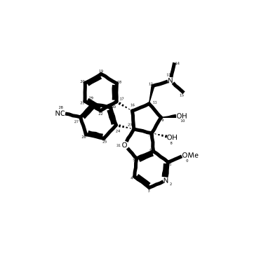 COc1nccc2c1[C@]1(O)[C@H](O)[C@H](CN(C)C)[C@@H](c3ccccc3)[C@]1(c1ccc(C#N)cc1)O2